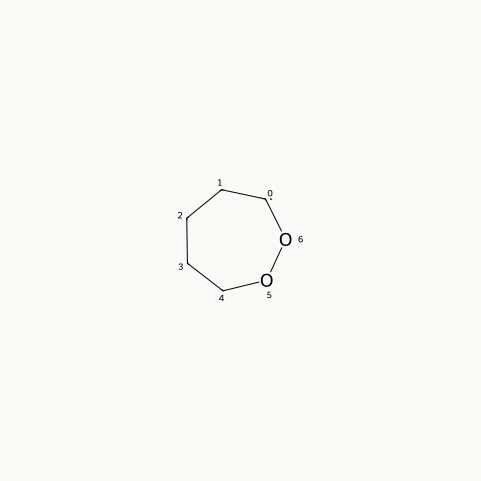 [CH]1CCCCOO1